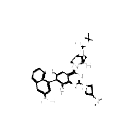 CN(C)C1CN(c2nc(N3CC4C[C@H]3CN4C(=O)OC(C)(C)C)c3cc(Cl)c(-c4cc(O)cc5ccccc45)c(F)c3n2)C1